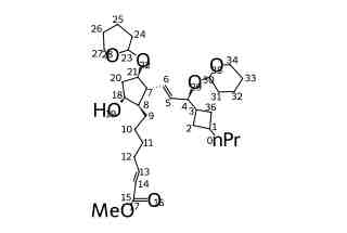 CCCC1CC([C@@H](/C=C/[C@@H]2[C@@H](CCCC/C=C/C(=O)OC)[C@@H](O)C[C@H]2OC2CCCCO2)OC2CCCCO2)C1